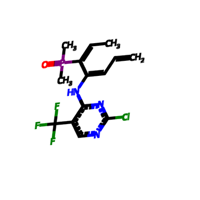 C=C/C=C(Nc1nc(Cl)ncc1C(F)(F)F)\C(=C/C)P(C)(C)=O